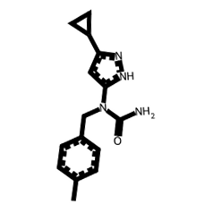 Cc1ccc(CN(C(N)=O)c2cc(C3CC3)n[nH]2)cc1